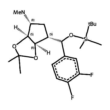 CN[C@@H]1C[C@H](C(O[Si](C)(C)C(C)(C)C)c2ccc(F)c(F)c2)[C@H]2OC(C)(C)O[C@H]21